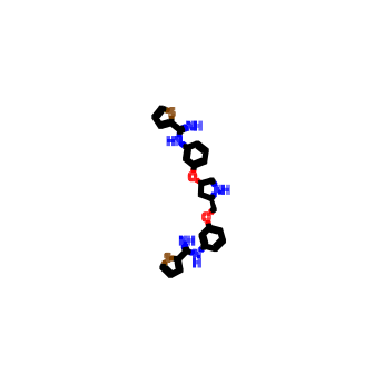 N=C(Nc1cccc(OC[C@H]2C[C@@H](Oc3cccc(NC(=N)c4cccs4)c3)CN2)c1)c1cccs1